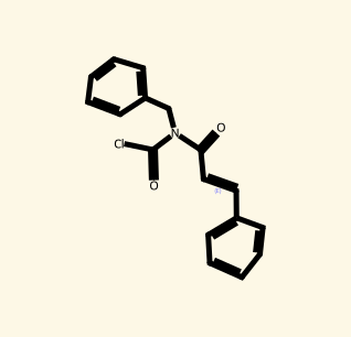 O=C(Cl)N(Cc1ccccc1)C(=O)/C=C/c1ccccc1